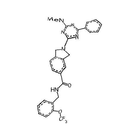 CNc1nc(-c2ccccc2)nc(N2Cc3ccc(C(=O)NCc4ccccc4OC(F)(F)F)cc3C2)n1